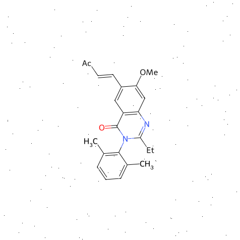 CCc1nc2cc(OC)c(/C=C/C(C)=O)cc2c(=O)n1-c1c(C)cccc1C